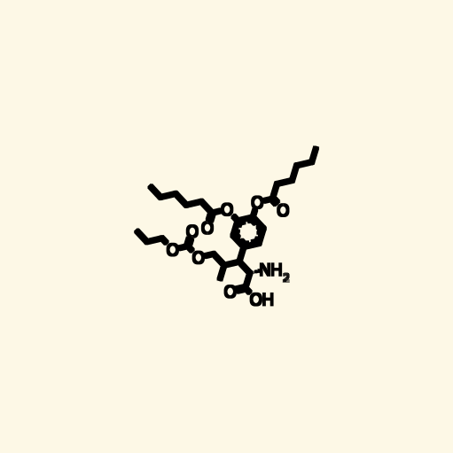 CCCCCC(=O)Oc1ccc(C(C(C)COC(=O)OCCC)[C@H](N)C(=O)O)cc1OC(=O)CCCCC